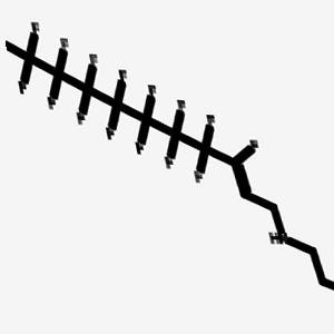 CCCNC/C=C(\F)C(F)(F)C(F)(F)C(F)(F)C(F)(F)C(F)(F)C(F)(F)C(F)(F)F